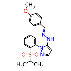 COc1ccc(C=NNc2ccnn2-c2ccccc2S(=O)(=O)C(C)C)cc1